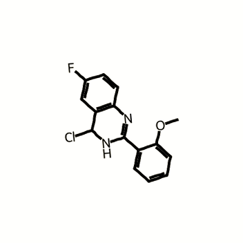 COc1ccccc1C1=Nc2ccc(F)cc2C(Cl)N1